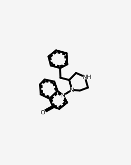 O=c1ccn(N2CCNCC2Cc2ccccc2)c2ccccc12